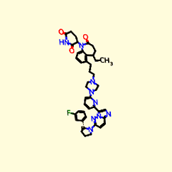 CCC1CCC(=O)N(C2CCC(=O)NC2=O)c2cccc(CCCN3CCN(c4cccc(-c5cnc6ccc(N7CCC[C@@H]7c7cccc(F)c7)nn56)n4)CC3)c21